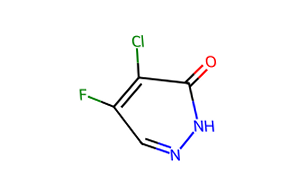 O=c1[nH]ncc(F)c1Cl